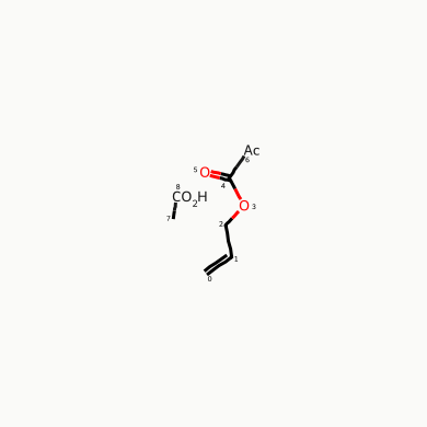 C=CCOC(=O)C(C)=O.CC(=O)O